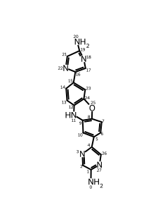 Nc1cnc(-c2ccc3c(c2)Nc2ccc(-c4cnc(N)cn4)cc2O3)cn1